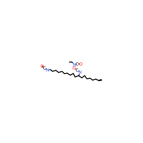 C=CCCCCCCC(CCCCCCCCCCN=C=O)N=C=O.CCN=C=O